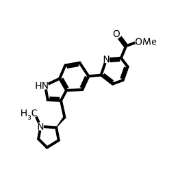 COC(=O)c1cccc(-c2ccc3[nH]cc(C[C@H]4CCCN4C)c3c2)n1